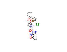 O=C(C[N+]12CCC(CC1)C(OC(=O)C1(c3cccs3)CCCCCC1)C2)Nc1noc2ccccc12.[Cl-]